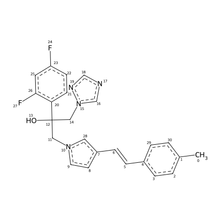 Cc1ccc(C=Cc2ccn(CC(O)(Cn3cncn3)c3ccc(F)cc3F)c2)cc1